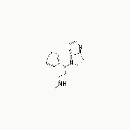 CNCCC(c1ccccc1)N1CCc2ncccc21